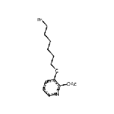 CC(=O)Oc1ncccc1OCCCCCCBr